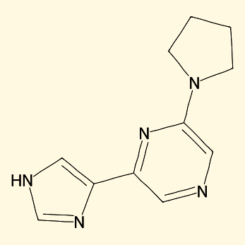 c1nc(-c2cncc(N3CCCC3)n2)c[nH]1